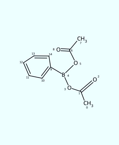 CC(=O)OB(OC(C)=O)c1ccccc1